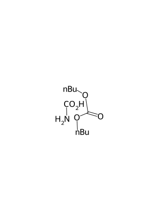 CCCCOC(=O)OCCCC.NC(=O)O